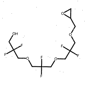 OCC(F)(F)COCC(F)(F)COCC(F)(F)COCC1CO1